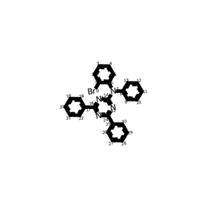 Brc1ccccc1N(c1ccccc1)c1nc(-c2ccccc2)nc(-c2ccccc2)n1